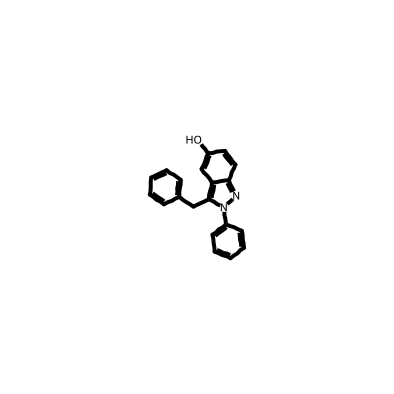 Oc1ccc2nn(-c3ccccc3)c(Cc3ccccc3)c2c1